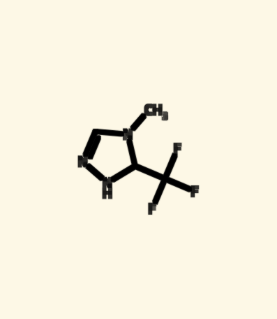 CN1C=NNC1C(F)(F)F